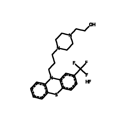 F.OCCN1CCN(CCCN2c3ccccc3Sc3ccc(C(F)(F)F)cc32)CC1